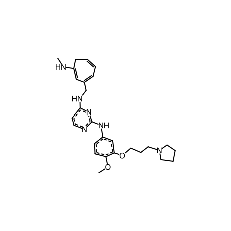 CNC1=CC(CNc2ccnc(Nc3ccc(OC)c(OCCCN4CCCC4)c3)n2)=CC=CC1